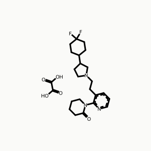 O=C(O)C(=O)O.O=C1CCCCN1c1ncccc1CCN1CCC(C2CCC(F)(F)CC2)C1